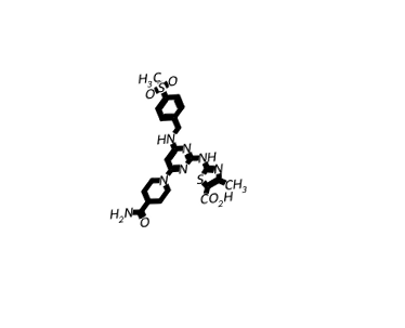 Cc1nc(Nc2nc(NCc3ccc(S(C)(=O)=O)cc3)cc(N3CCC(C(N)=O)CC3)n2)sc1C(=O)O